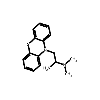 CN(C)C(N)CN1c2ccccc2Sc2ccccc21